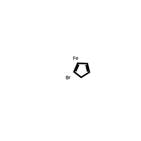 C1=CCC=C1.[Br].[Fe]